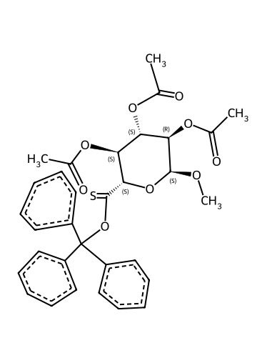 CO[C@H]1O[C@H](C(=S)OC(c2ccccc2)(c2ccccc2)c2ccccc2)[C@@H](OC(C)=O)[C@H](OC(C)=O)[C@H]1OC(C)=O